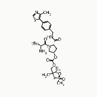 Cc1ncsc1-c1ccc(CNC(=O)[C@@H]2C[C@@H](OC(=O)OCC(C)(C)SS(C)(=O)=O)CN2C(=O)[C@@H](N)C(C)(C)C)cc1